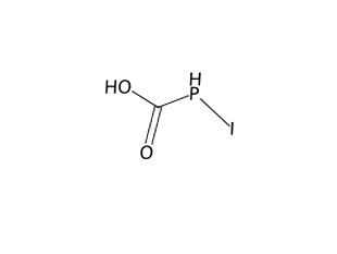 O=C(O)PI